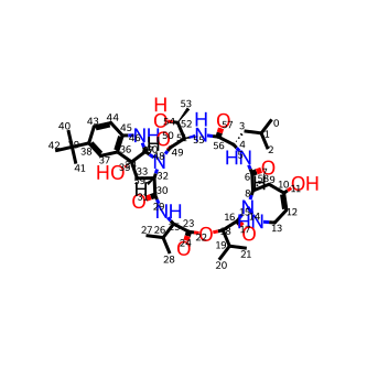 CC(C)C[C@@H]1NC(=O)[C@H]2CC(O)=CCNN2C(=O)C(C(C)C)OC(=O)C(C(C)C)NC(=O)[C@@H]2C[C@@]3(O)c4cc(C(C)(C)C)ccc4N[C@H]3N2C(=O)[C@@H]([C@H](C)O)NC1=O